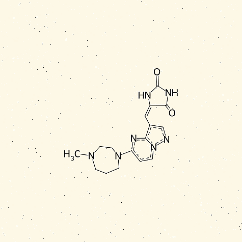 CN1CCCN(c2ccn3ncc(/C=C4/NC(=O)NC4=O)c3n2)CC1